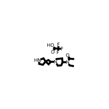 CCN(C(C)=O)C1CCN(C2CC3(CCNC3)C2)CC1.O=C(O)C(F)(F)F